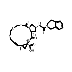 O=C1N[C@]2(C(=O)O)C[C@H]2/C=C\CCCCCCC(=O)N2C[C@H](NC(=S)N3CCc4ccccc4C3)C[C@@H]12